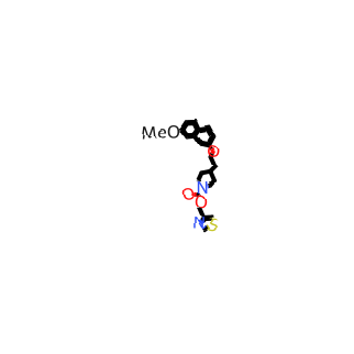 COc1ccc2ccc(OCCC3CCN(C(=O)OCc4cscn4)CC3)cc2c1